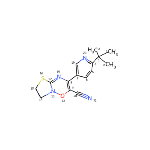 CC(C)(C)c1ccc(C2=C(C#N)ON3CCSC3=N2)cn1